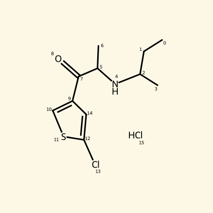 CCC(C)NC(C)C(=O)c1csc(Cl)c1.Cl